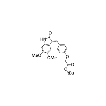 COc1cc2c(cc1OC)/C(=C\c1ccc(OCC(=O)OC(C)(C)C)cc1)C(=O)N2